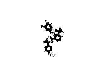 O=C(O)c1ccc(C2(NC(=O)c3cccc4c3N(Cc3ccc(F)c(F)c3)CC43CC3)CC2)cc1